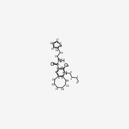 CCCCn1c2c(cc(C(=O)NCCc3cccs3)c1=O)CCCCCC2